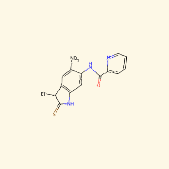 CCC1C(=S)Nc2cc(NC(=O)c3ccccn3)c([N+](=O)[O-])cc21